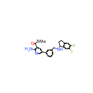 CNC(=O)c1cc(-c2cccc(CNC3CCc4cc(F)c(F)cc43)c2)cnc1N